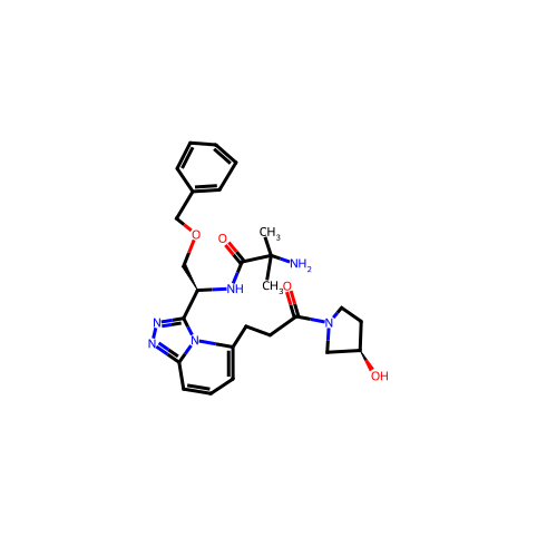 CC(C)(N)C(=O)N[C@H](COCc1ccccc1)c1nnc2cccc(CCC(=O)N3CC[C@@H](O)C3)n12